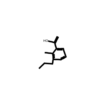 C=C(O)c1cccc(CCC)c1C